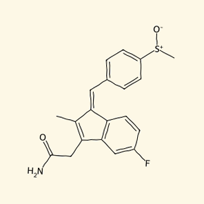 CC1=C(CC(N)=O)c2cc(F)ccc2/C1=C\c1ccc([S+](C)[O-])cc1